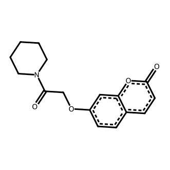 O=C(COc1ccc2ccc(=O)oc2c1)N1CCCCC1